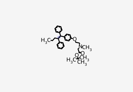 CCC/C(=C(\c1ccccc1)c1ccc(OCCN(C)CC(=O)OC(C)(C)C)cc1)c1ccccc1